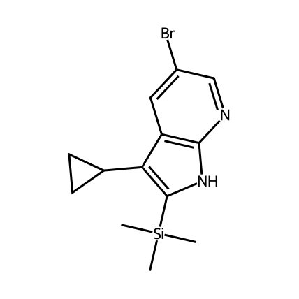 C[Si](C)(C)c1[nH]c2ncc(Br)cc2c1C1CC1